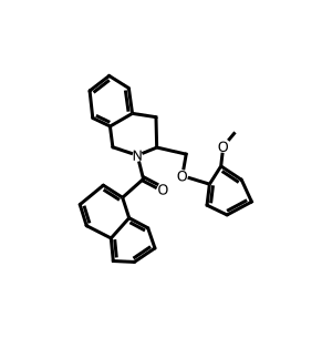 COc1ccccc1OCC1Cc2ccccc2CN1C(=O)c1cccc2ccccc12